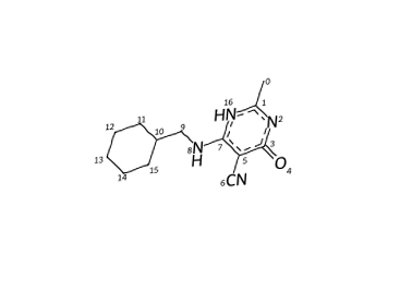 Cc1nc(=O)c(C#N)c(NCC2CCCCC2)[nH]1